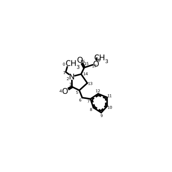 CCN1C(=O)C(Cc2ccccc2)CC1C(=O)OC